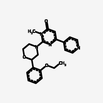 CCOc1ccccc1C1CN(c2nc(-c3ccncc3)cc(=O)n2C)CCO1